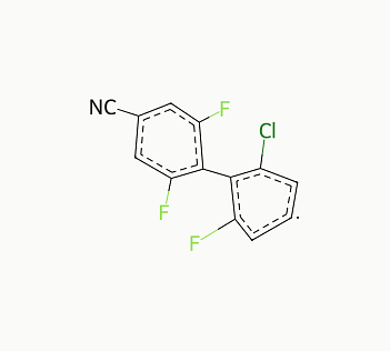 N#Cc1cc(F)c(-c2c(F)c[c]cc2Cl)c(F)c1